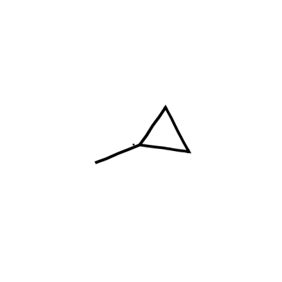 C[C]1CC1